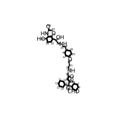 O=COC(c1ccccc1)(c1ccccc1)c1cc(CNCCCOc2ccc(CCNCC(O)c3ccc(O)c4c3OCC(=O)N4)cc2)on1